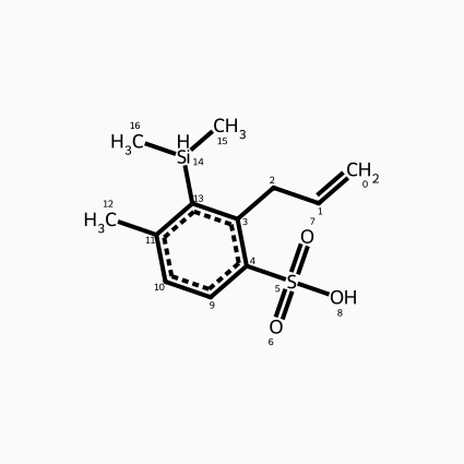 C=CCc1c(S(=O)(=O)O)ccc(C)c1[SiH](C)C